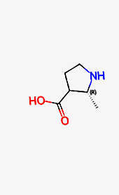 C[C@H]1NCCC1C(=O)O